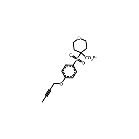 CC#CCOc1ccc(S(=O)(=O)C2(C(=O)OCC)CCOCC2)cc1